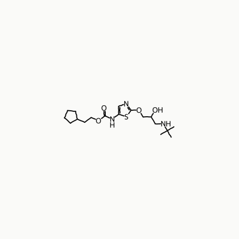 CC(C)(C)NCC(O)COc1ncc(NC(=O)OCCC2CCCC2)s1